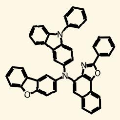 c1ccc(-c2nc3c(N(c4ccc5oc6ccccc6c5c4)c4ccc5c(c4)c4ccccc4n5-c4ccccc4)cc4ccccc4c3o2)cc1